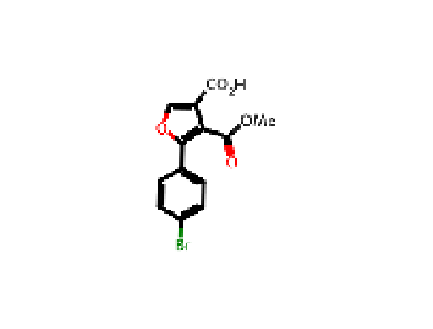 COC(=O)c1c(C(=O)O)coc1-c1ccc(Br)cc1